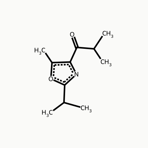 Cc1oc(C(C)C)nc1C(=O)C(C)C